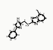 Cc1cccc2nc(SCc3nc(-c4ccccc4)c[nH]3)nn12